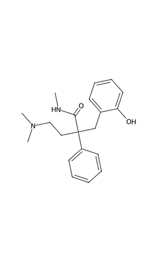 CNC(=O)C(CCN(C)C)(Cc1ccccc1O)c1ccccc1